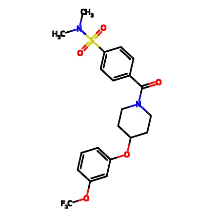 CN(C)S(=O)(=O)c1ccc(C(=O)N2CCC(Oc3cccc(OC(F)(F)F)c3)CC2)cc1